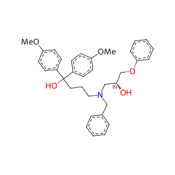 COc1ccc(C(O)(CCCN(Cc2ccccc2)C[C@H](O)COc2ccccc2)c2ccc(OC)cc2)cc1